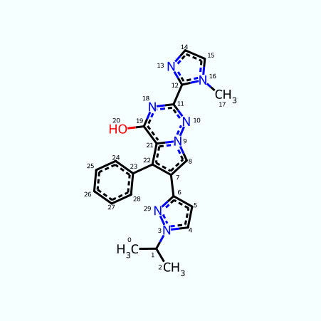 CC(C)n1ccc(-c2cn3nc(-c4nccn4C)nc(O)c3c2-c2ccccc2)n1